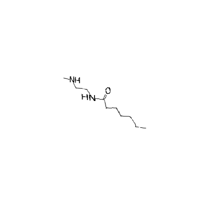 CCCCCCC(=O)NCCNC